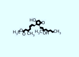 CCCCC[C@@](C)(O)/C=C/[C@H]1C(=O)C[C@H](O)[C@@H]1C/C=C\CC(C)CC(=O)OC